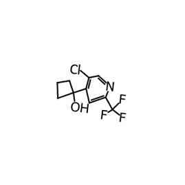 OC1(c2cc(C(F)(F)F)ncc2Cl)CCC1